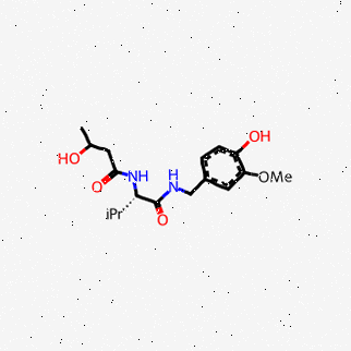 COc1cc(CNC(=O)[C@@H](NC(=O)CC(C)O)C(C)C)ccc1O